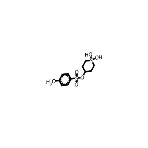 Cc1ccc(S(=O)(=O)OC2CCS(O)(O)CC2)cc1